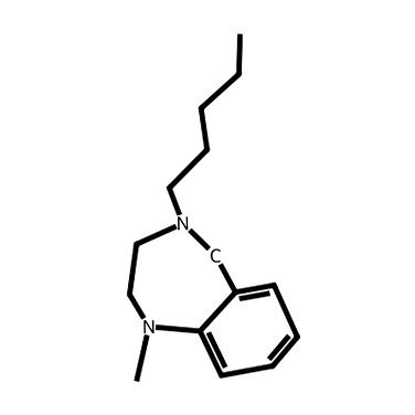 CCCCCN1CCN(C)c2ccccc2C1